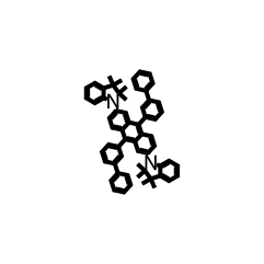 CC1(C)c2ccccc2N(c2ccc3c(-c4cccc(-c5ccccc5)c4)c4cc(N5c6ccccc6C(C)(C)C5(C)C)ccc4c(-c4cccc(-c5ccccc5)c4)c3c2)C1(C)C